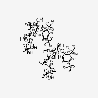 CC(C)(C)c1ccc(OP(=O)(O)OP(=O)(O)OP(=O)(O)OP(=O)(O)OP(=O)(O)O)c(C(C)(C)C)c1.CC(C)(C)c1ccc(OP(=O)(O)OP(=O)(O)OP(=O)(O)OP(=O)(O)OP(=O)(O)O)c(C(C)(C)C)c1